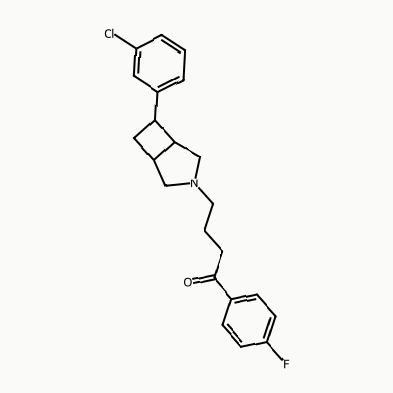 O=C(CCCN1CC2CC(c3cccc(Cl)c3)C2C1)c1ccc(F)cc1